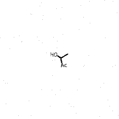 C[CH](O)[Ac]